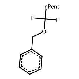 CCCCCC(F)(F)OCc1ccccc1